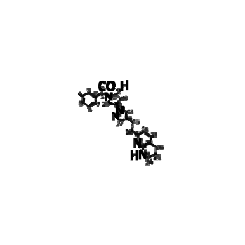 O=C(O)C(c1ccccc1)N1CC[C@@H](n2cc(CCc3ccc4c(n3)NCCC4)cn2)C1